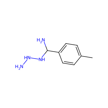 Cc1ccc(C(N)NNN)cc1